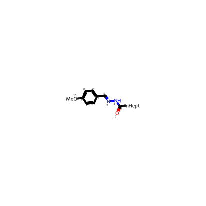 CCCCCCCC(=O)NN=Cc1ccc(OC)cc1